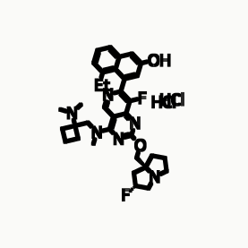 CCc1cccc2cc(O)cc(-c3ncc4c(N(C)CC5(N(C)C)CCC5)nc(OC[C@@]56CCCN5C[C@H](F)C6)nc4c3F)c12.Cl.Cl